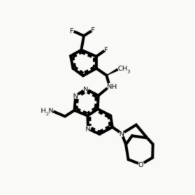 C[C@@H](Nc1nnc(CN)c2ncc(N3CC4CCOCC3C4)cc12)c1cccc(C(F)F)c1F